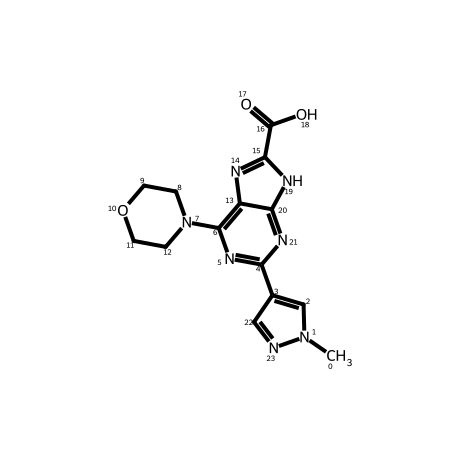 Cn1cc(-c2nc(N3CCOCC3)c3nc(C(=O)O)[nH]c3n2)cn1